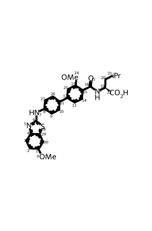 COc1ccc2nc(Nc3ccc(-c4ccc(C(=O)N[C@@H](CC(C)C)C(=O)O)c(OC)c4)cc3)sc2c1